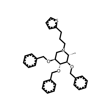 C[C@@H]1[C@@H](OCc2ccccc2)[C@H](OCc2ccccc2)[C@@H](OCc2ccccc2)CN1CCCc1cccs1